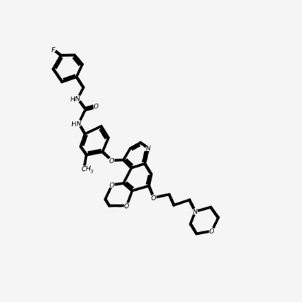 Cc1cc(NC(=O)NCc2ccc(F)cc2)ccc1Oc1ccnc2cc(OCCCN3CCOCC3)c3c(c12)OCCO3